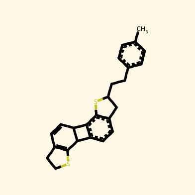 Cc1ccc(CCC2Cc3ccc4c(c3S2)C2C=CC3=C(SCC3)C42)cc1